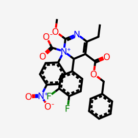 CCC1=C(C(=O)OCc2ccccc2)C(c2ccc(F)c(F)c2)[N+](C(=O)[O-])(c2ccc([N+](=O)[O-])cc2)C(OC)=N1